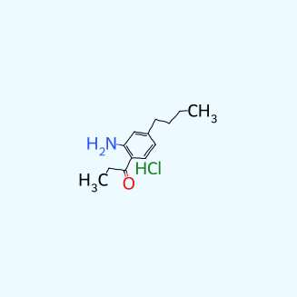 CCCCc1ccc(C(=O)CC)c(N)c1.Cl